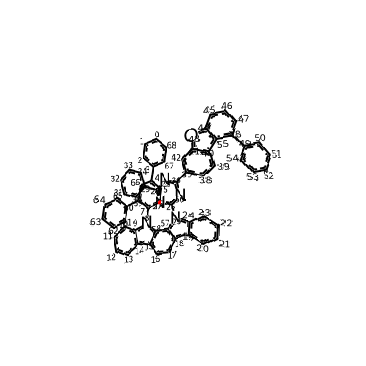 c1ccc(-c2ccc(-n3c4ccccc4c4ccc5c6ccccc6n(-c6nc(-c7ccccc7)nc(-c7ccc8c(c7)oc7cccc(-c9ccccc9)c78)n6)c5c43)c(-c3ccccc3)c2)cc1